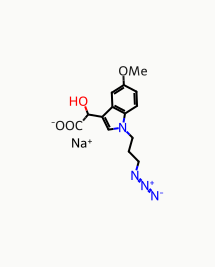 COc1ccc2c(c1)c(C(O)C(=O)[O-])cn2CCCN=[N+]=[N-].[Na+]